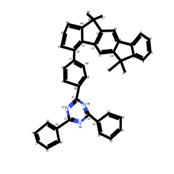 CC1(C)c2ccccc2-c2cc3c(cc21)-c1c(-c2ccc(-c4nc(-c5ccccc5)nc(-c5ccccc5)n4)cc2)cccc1C3(C)C